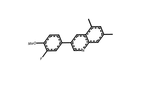 COc1ccc(-c2cnc3cc(C)cc(C)c3c2)cc1F